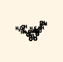 COc1nc(-c2cccc(-c3cccc(-c4ccn5c(=O)c(CN[C@H]6C[C@](C)(O)C6)c(C)nc5c4)c3Cl)c2Cl)ccc1CN[C@H]1C[C@](C)(O)C1